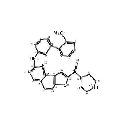 COc1ccccc1-c1cccc(Nc2ncc3ccc4sc(C(=O)N5CCNCC5)cc4c3n2)c1